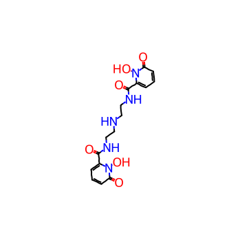 O=C(NCCNCCNC(=O)c1cccc(=O)n1O)c1cccc(=O)n1O